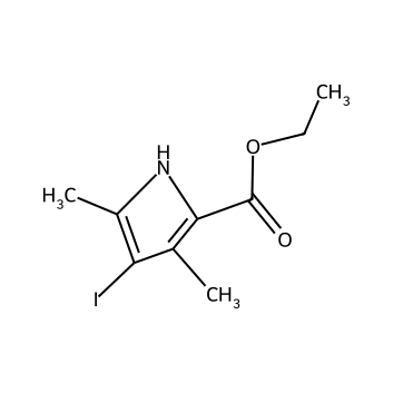 CCOC(=O)c1[nH]c(C)c(I)c1C